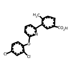 Cc1ccc(C(=O)O)cc1-c1cccc(Oc2ccc(Cl)cc2Cl)n1